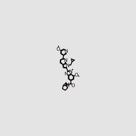 COc1cncc(-c2ccc3cc(-c4nc5cc(C(=O)N6CC7CCC6[C@@H]7C)cc(OC)c5n4C)n(CC4CC4)c3n2)c1